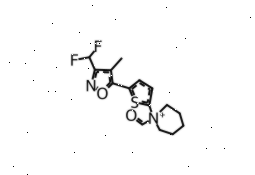 Cc1c(C(F)F)noc1-c1ccc([N+]2(C=O)CCCCC2)s1